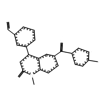 C=Cc1cccc(-c2cc(=O)n(C)c3ccc(C(=O)c4ccc(Cl)cc4)cc23)c1